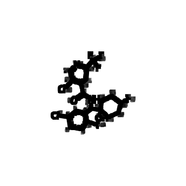 O=C(NC(c1cc(Cl)ccc1F)[C@]1(O)CC[C@@H](F)CC1)c1cc(C(F)(F)F)ncc1Cl